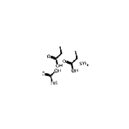 CCC(=O)O.CCC(=O)O.O=C(O)O.[SiH4]